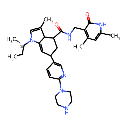 CC[C@H](C)N1C=C(C)C2C1=CC(c1ccc(N3CCNCC3)nc1)CC2C(=O)NCc1c(C)cc(C)[nH]c1=O